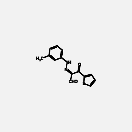 Cc1cccc(NN=C(C=O)C(=O)c2cccs2)c1